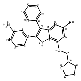 Nc1cc(-c2[nH]c3c(OCC4CCCO4)cc(F)nc3c2-c2ccccn2)ccn1